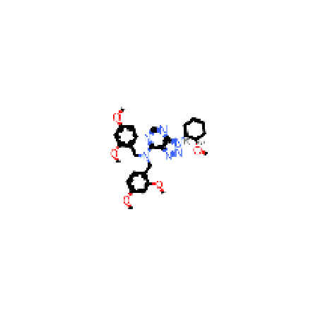 COc1ccc(CN(Cc2ccc(OC)cc2OC)c2ncnc3c2nnn3[C@H]2CCCC[C@@H]2OC)c(OC)c1